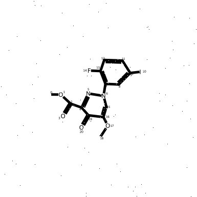 COC(=O)c1nn(-c2cc(I)ccc2F)cc(OC)c1=O